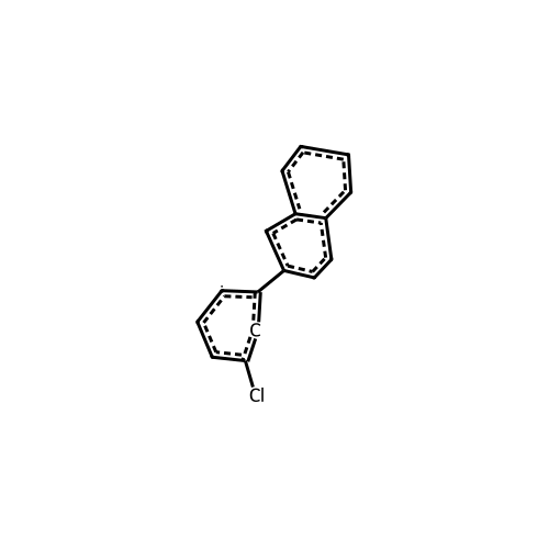 Clc1cc[c]c(-c2ccc3ccccc3c2)c1